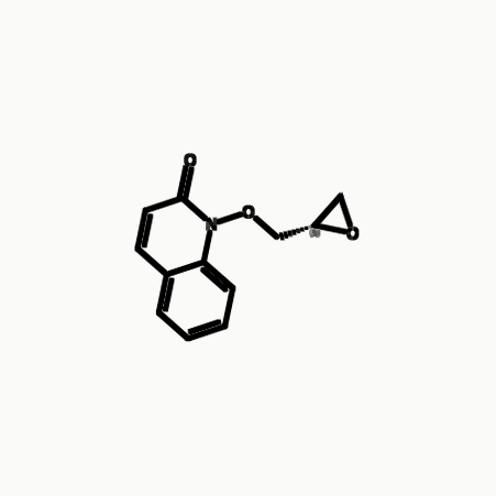 O=c1ccc2ccccc2n1OC[C@@H]1CO1